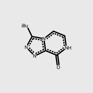 CCC(C)c1nnc2c(=O)[nH]ccn12